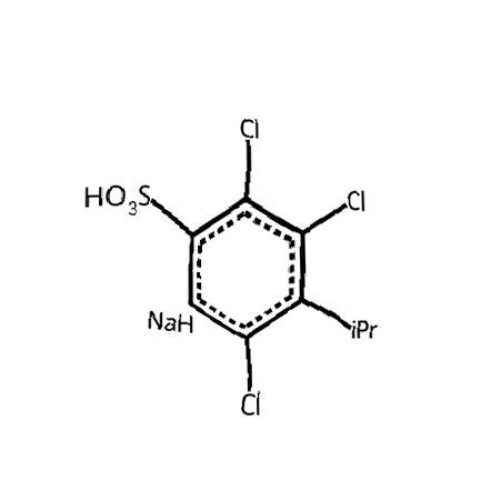 CC(C)c1c(Cl)cc(S(=O)(=O)O)c(Cl)c1Cl.[NaH]